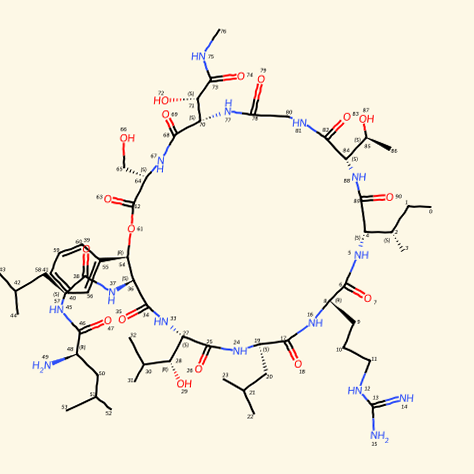 CC[C@H](C)[C@@H]1NC(=O)[C@@H](CCCNC(=N)N)NC(=O)[C@H](CC(C)C)NC(=O)[C@H]([C@H](O)C(C)C)NC(=O)[C@@H](NC(=O)[C@H](CC(C)C)NC(=O)[C@H](N)CC(C)C)[C@@H](c2ccccc2)OC(=O)[C@H](CO)NC(=O)[C@H]([C@H](O)C(=O)NC)NC(=O)CNC(=O)[C@H]([C@H](C)O)NC1=O